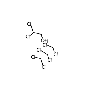 ClCCl.ClCCl.ClCCl.OCC(Cl)Cl